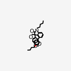 CCCCCN1C(=O)C2(COc3cc4c(cc32)OCO4)c2c(-c3ccc(CCCC)cc3)cccc21